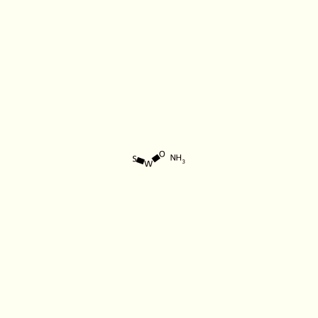 N.[O]=[W]=[S]